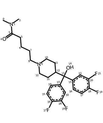 CN(C)C(=O)CCCCN1CCC(C(O)(c2ccc(F)c(F)c2)c2ccc(F)c(F)c2)CC1